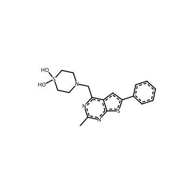 Cc1nc(CN2CCS(O)(O)CC2)c2cc(-c3ccccc3)sc2n1